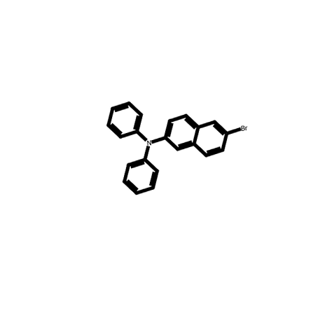 Brc1ccc2cc(N(c3ccccc3)c3ccccc3)ccc2c1